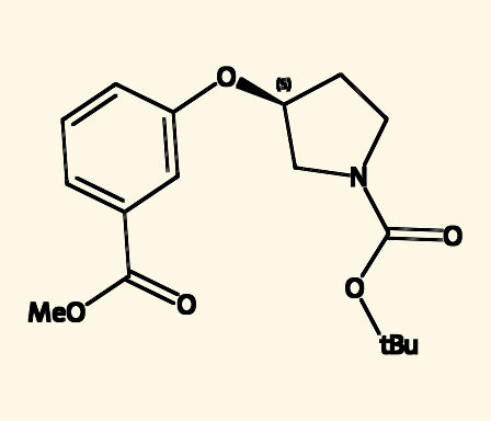 COC(=O)c1cccc(O[C@H]2CCN(C(=O)OC(C)(C)C)C2)c1